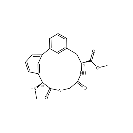 CN[C@@H]1C(=O)NCC(=O)N[C@H](C(=O)OC)Cc2cccc(c2)-c2cccc1c2